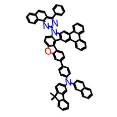 CC1(C)c2ccccc2-c2cc(N(c3ccc(-c4ccc5c(c4)oc4ccc6c(c7cc8c9ccccc9c9ccccc9c8cc7n6-c6nc(-c7ccccc7)c7ccc8ccccc8c7n6)c45)cc3)c3ccc4ccccc4c3)ccc21